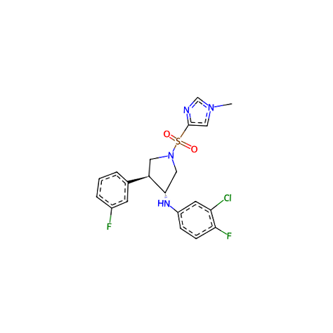 Cn1cnc(S(=O)(=O)N2C[C@H](Nc3ccc(F)c(Cl)c3)[C@@H](c3cccc(F)c3)C2)c1